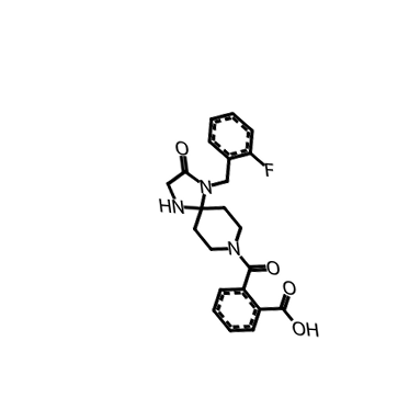 O=C(O)c1ccccc1C(=O)N1CCC2(CC1)NCC(=O)N2Cc1ccccc1F